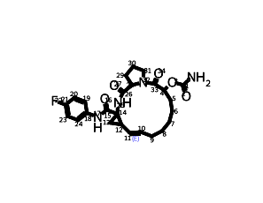 NC(=O)OC1CCCCC/C=C/C2CC2(C(=O)Nc2ccc(F)cc2)NC(=O)C2CCCN2C1=O